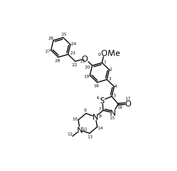 COc1cc(/C=C2\SC(N3CCN(C)CC3)=NC2=O)ccc1OCc1ccccc1